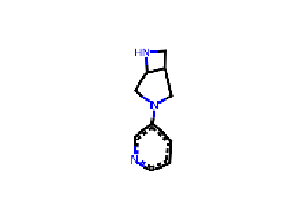 c1cncc(N2CC3CNC3C2)c1